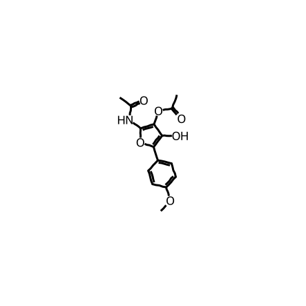 COc1ccc(-c2oc(NC(C)=O)c(OC(C)=O)c2O)cc1